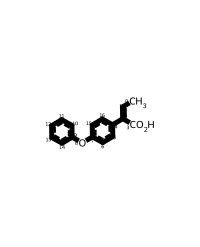 CC=C(C(=O)O)c1ccc(Oc2ccccc2)cc1